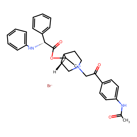 CC(=O)Nc1ccc(C(=O)C[N+]23CCC(CC2)[C@@H](OC(=O)[C@H](Nc2ccccc2)c2ccccc2)C3)cc1.[Br-]